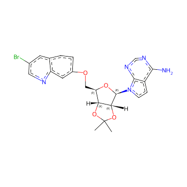 CC1(C)O[C@@H]2[C@H](O1)[C@@H](COc1ccc3cc(Br)cnc3c1)O[C@H]2n1ccc2c(N)ncnc21